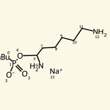 CCCCP(=O)([O-])OC(N)CCCCCN.[Na+]